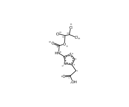 O=C(O)Cc1csc(NC(=O)OC(Cl)C(Cl)Cl)n1